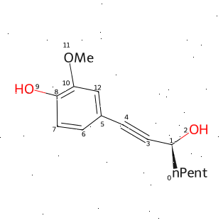 CCCCC[C@H](O)C#Cc1ccc(O)c(OC)c1